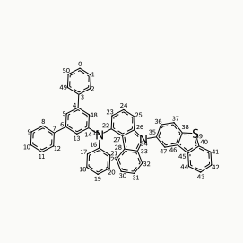 c1ccc(-c2cc(-c3ccccc3)cc(N(c3ccccc3)c3cccc4c3c3ccccc3n4-c3ccc4sc5ccccc5c4c3)c2)cc1